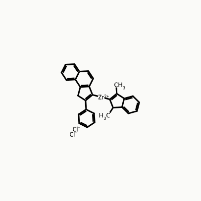 CC1=[C]([Zr+2][C]2=C(c3ccccc3)Cc3c2ccc2ccccc32)C(C)c2ccccc21.[Cl-].[Cl-]